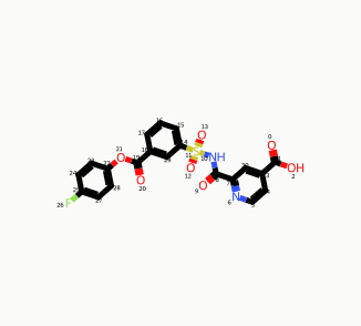 O=C(O)c1ccnc(C(=O)NS(=O)(=O)c2cccc(C(=O)Oc3ccc(F)cc3)c2)c1